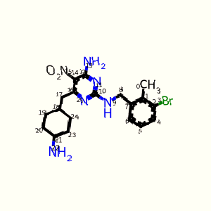 Cc1c(Br)cccc1CNc1nc(N)c([N+](=O)[O-])c(CC2CCC(N)CC2)n1